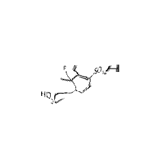 CC1=C(S(=O)(=O)O)C=CC(C(=O)O)C1(C)F